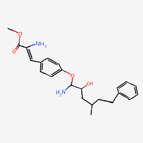 COC(=O)C(N)=Cc1ccc(OC(N)C(O)CC(C)CCc2ccccc2)cc1